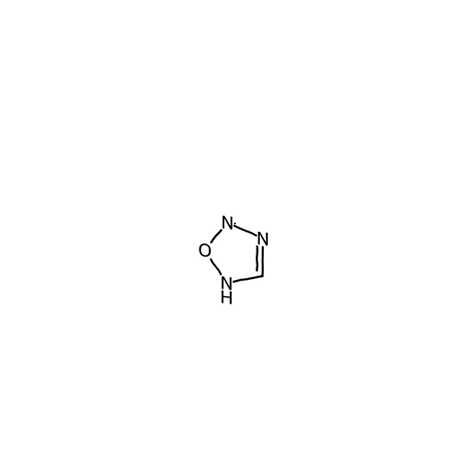 C1=N[N]ON1